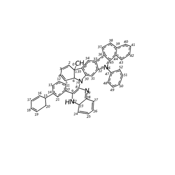 CC12C=CC=CC1N(C1=C(c3cccc(C4C=CC=CC4)c3)NC3C=CC=CC3=N1)c1cc3c(cc12)c1ccc2ccccc2c1n3-c1ccccc1